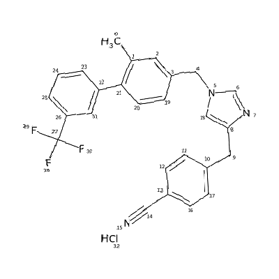 Cc1cc(Cn2cnc(Cc3ccc(C#N)cc3)c2)ccc1-c1cccc(C(F)(F)F)c1.Cl